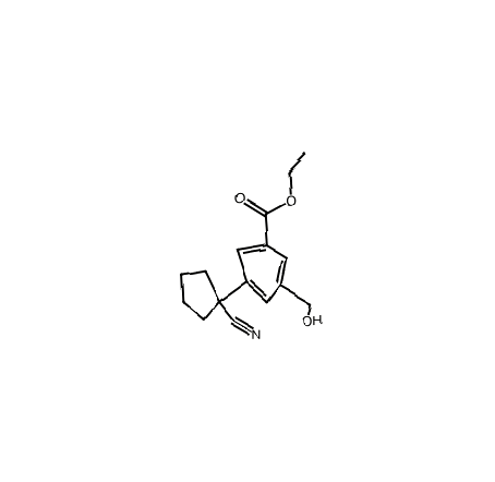 CCOC(=O)c1cc(CO)cc(C2(C#N)CCCC2)c1